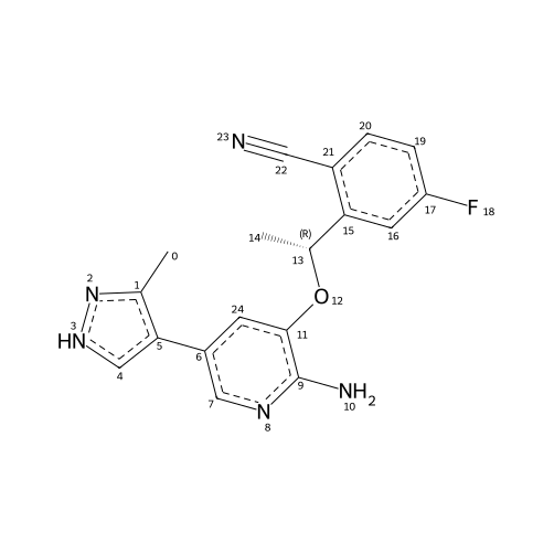 Cc1n[nH]cc1-c1cnc(N)c(O[C@H](C)c2cc(F)ccc2C#N)c1